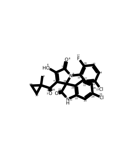 CC1(C(=O)C2=C(O)C(=O)N(c3cc(Cl)ccc3F)C23C(=O)Nc2cc(Cl)ccc23)CC1